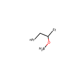 BOC(CC)CCCC